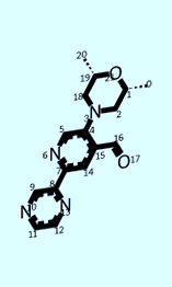 C[C@@H]1CN(c2cnc(-c3cnccn3)cc2C=O)C[C@H](C)O1